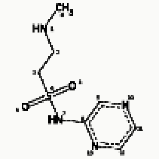 CNCCS(=O)(=O)Nc1cnccn1